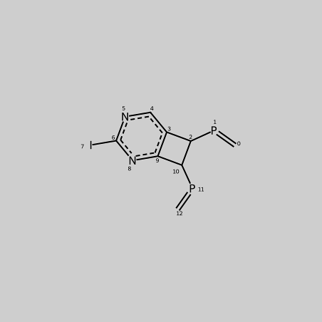 C=PC1c2cnc(I)nc2C1P=C